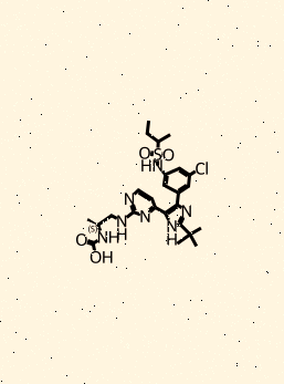 CCC(C)S(=O)(=O)Nc1cc(Cl)cc(-c2nc(C(C)(C)C)[nH]c2-c2ccnc(NC[C@H](C)NC(=O)O)n2)c1